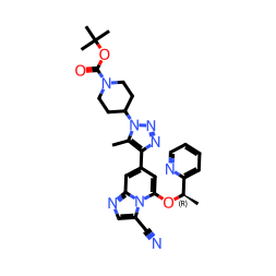 Cc1c(-c2cc(O[C@H](C)c3ccccn3)n3c(C#N)cnc3c2)nnn1C1CCN(C(=O)OC(C)(C)C)CC1